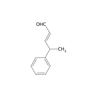 CC(C=CC=O)c1ccccc1